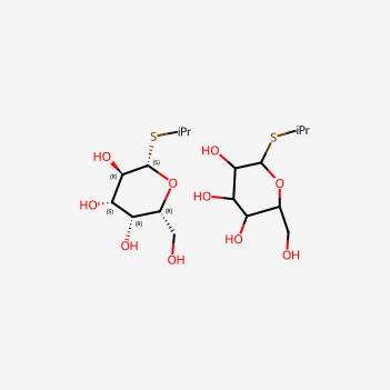 CC(C)SC1OC(CO)C(O)C(O)C1O.CC(C)S[C@@H]1O[C@H](CO)[C@H](O)[C@H](O)[C@H]1O